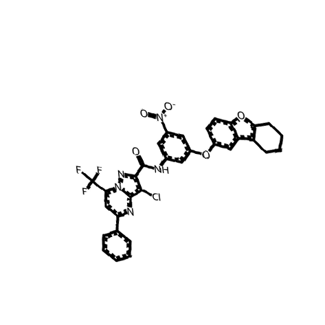 O=C(Nc1cc(Oc2ccc3oc4c(c3c2)CCCC4)cc([N+](=O)[O-])c1)c1nn2c(C(F)(F)F)cc(-c3ccccc3)nc2c1Cl